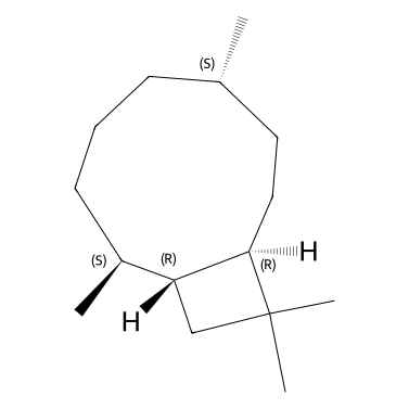 C[C@H]1CCC[C@H](C)[C@H]2CC(C)(C)[C@@H]2CC1